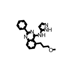 COCCCc1cccc2nc(-c3ccccc3)nc(Nc3ccn[nH]3)c12